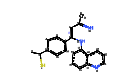 CC(S)c1ccc(/C(=C/C(=N)C(F)(F)F)Nc2cccc3ncccc23)cc1